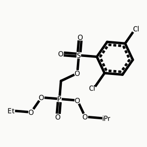 CCOOP(=O)(COS(=O)(=O)c1cc(Cl)ccc1Cl)OOC(C)C